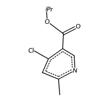 Cc1cc(Cl)c(C(=O)OC(C)C)cn1